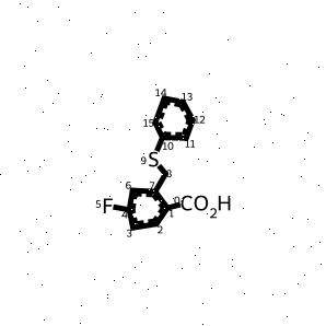 O=C(O)c1ccc(F)cc1CSc1ccccc1